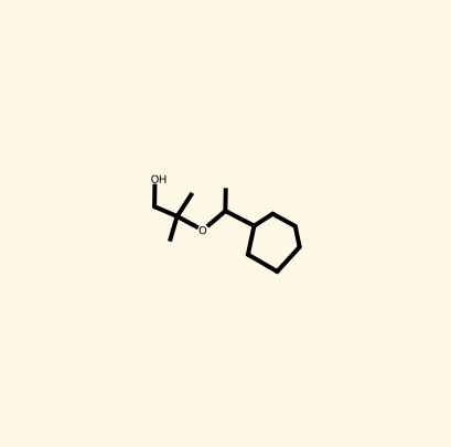 CC(OC(C)(C)CO)C1CCCCC1